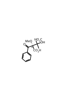 CO[C@](C(=O)O)(C(=O)c1ccccc1)C(C)(O)C(=O)O